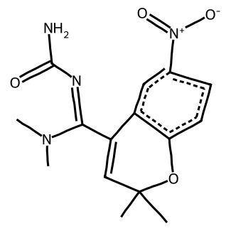 CN(C)C(=NC(N)=O)C1=CC(C)(C)Oc2ccc([N+](=O)[O-])cc21